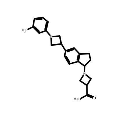 COC(=O)C1CN(C2CCc3cc(C4CN(c5cccc(P)c5)C4)ccc32)C1